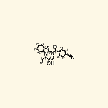 CCC(C(=O)O)n1c(=NC(=O)c2ccc(C#N)cc2)sc2ccccc21